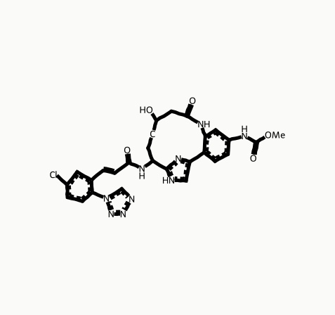 COC(=O)Nc1ccc2c(c1)NC(=O)CC(O)CCC(NC(=O)/C=C/c1cc(Cl)ccc1-n1cnnn1)c1nc-2c[nH]1